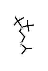 CC(C)OCCN(C(C)(C)C)C(C)(C)C